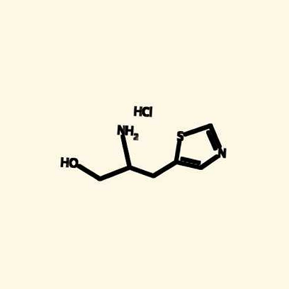 Cl.NC(CO)Cc1cncs1